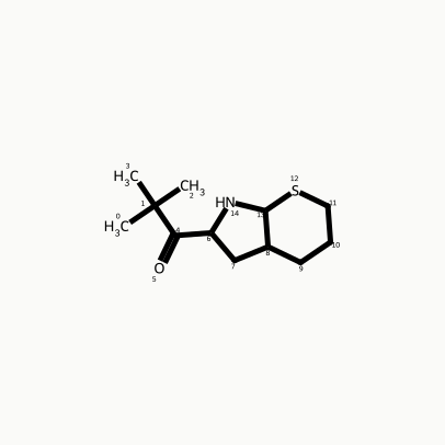 CC(C)(C)C(=O)C1CC2CCCSC2N1